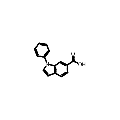 O=C(O)c1ccc2ccn(-c3ccccc3)c2c1